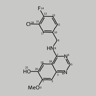 COc1cc2ncnc(NCc3ccc(F)c(Cl)c3)c2cc1O